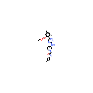 CCOCOc1cc(C)cc(C)c1-c1cnc(N[C@@H]2CCCN(CC(=O)N[C@H]3C[C@H](C)C3)C2)nn1